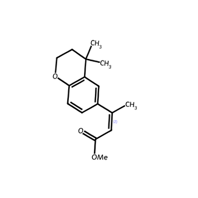 COC(=O)/C=C(/C)c1ccc2c(c1)C(C)(C)CCO2